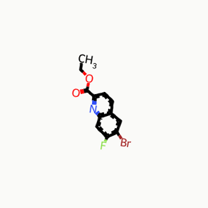 CCOC(=O)c1ccc2cc(Br)c(F)cc2n1